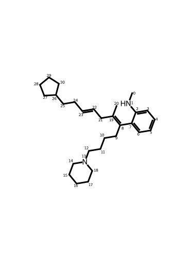 CNc1ccccc1/C(CCCCN1CCCCC1)=C(\C)C/C=C/CCC1CCCC1